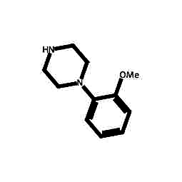 COc1ccccc1N1[CH]CNCC1